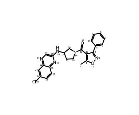 Cc1onc(-c2ccccc2)c1C(=O)N1CCC(Nc2cnc3cc(Cl)ccc3n2)C1